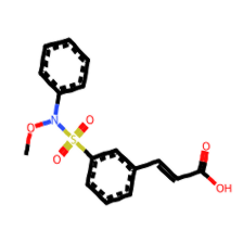 CON(c1ccccc1)S(=O)(=O)c1cccc(C=CC(=O)O)c1